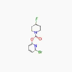 O=C(Oc1cccc(Br)n1)N1CCC(F)CC1